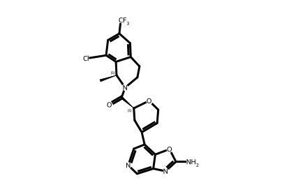 C[C@H]1c2c(Cl)cc(C(F)(F)F)cc2CCN1C(=O)[C@@H]1CC(c2cncc3nc(N)oc23)=CCO1